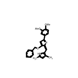 COc1ccc(C2=N/C(=C/c3[nH]c(C)cc3C)C(OCc3ccccc3)=C2)cc1OC